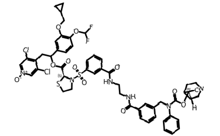 O=C(NCCNC(=O)c1cccc(S(=O)(=O)N2CCS[C@H]2C(=O)OC(Cc2c(Cl)c[n+]([O-])cc2Cl)c2ccc(OC(F)F)c(OCC3CC3)c2)c1)c1cccc(CN(C(=O)O[C@H]2CN3CCC2CC3)c2ccccc2)c1